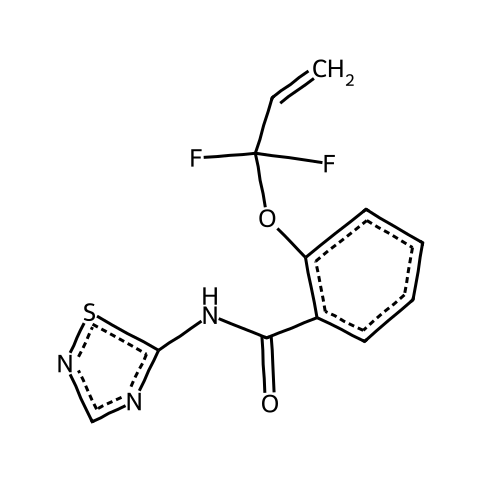 C=CC(F)(F)Oc1ccccc1C(=O)Nc1ncns1